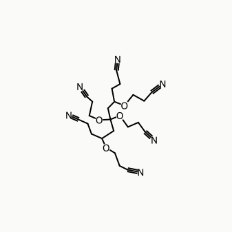 N#CCCOC(CCC#N)CC(CC(CCC#N)OCCC#N)(OCCC#N)OCCC#N